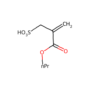 C=C(CS(=O)(=O)O)C(=O)OCCC